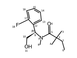 CCC(C)(C)C(=O)N(C)[C@@H](CO)c1ccccc1F